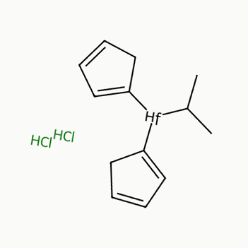 C[CH](C)[Hf]([C]1=CC=CC1)[C]1=CC=CC1.Cl.Cl